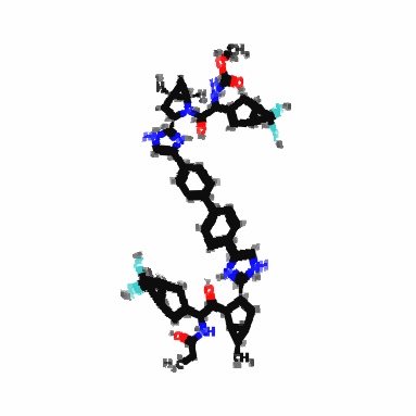 CCC(=O)NC(C(=O)C1C2C(C[C@H]1c1nc(-c3ccc(-c4ccc(-c5c[nH]c([C@@H]6C[C@H]7C[C@H]7N6C(=O)C(NC(=O)OC)C6CC7C(C6)C7(F)F)n5)cc4)cc3)c[nH]1)[C@H]2C)C1CC2C(C1)C2(F)F